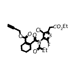 C#CCOC(=O)C1=C(C(=O)N(C(=O)CC)c2c(F)sc(CC(=O)OCC)c2Cl)CCCC1